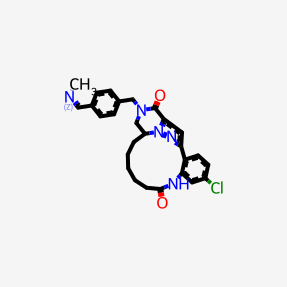 C/N=C\c1ccc(CN2CC3CCCCCC(=O)Nc4cc(Cl)ccc4-c4cc(n3n4)C2=O)cc1